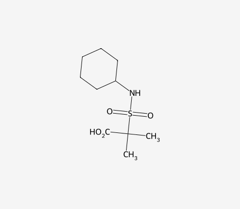 CC(C)(C(=O)O)S(=O)(=O)NC1CCCCC1